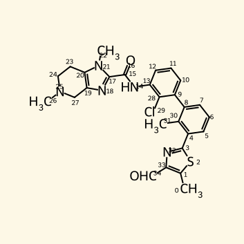 Cc1sc(-c2cccc(-c3cccc(NC(=O)c4nc5c(n4C)CCN(C)C5)c3Cl)c2C)nc1C=O